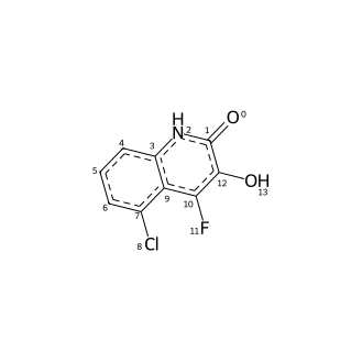 O=c1[nH]c2cccc(Cl)c2c(F)c1O